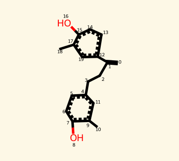 C=C(CCc1ccc(O)c(C)c1)c1ccc(O)c(C)c1